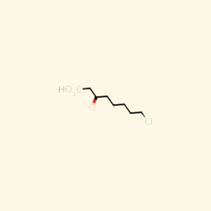 O=C(O)CC(=O)CCCCCCl